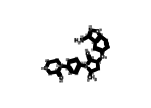 CC1CC(Oc2ccc3onc(N)c3c2)C(=O)N1c1ccc(N2CCOCC2=O)cc1